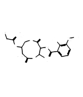 CCCC[C@H]1C(=O)OC(C)C(NC(=O)c2cccc(NC=O)c2O)C(=O)O[C@@H](C)C1OC(=O)CC(C)C